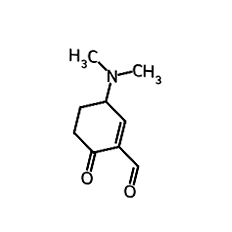 CN(C)C1C=C(C=O)C(=O)CC1